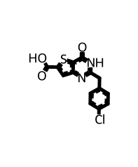 O=C(O)c1cc2nc(Cc3ccc(Cl)cc3)[nH]c(=O)c2s1